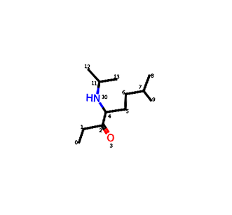 CCC(=O)C(CCC(C)C)NC(C)C